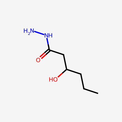 CCCC(O)CC(=O)NN